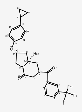 O=C(c1cccc(C(F)(F)F)c1)N1CC(=O)N2C[C@H](Oc3cnc(C4CC4)cn3)C[C@H]2C1